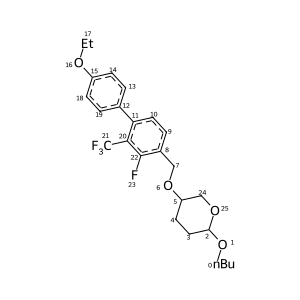 CCCCOC1CCC(OCc2ccc(-c3ccc(OCC)cc3)c(C(F)(F)F)c2F)CO1